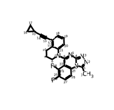 Cc1nnc2nc(N3CCCc4c(C#CC5CC5)cccc43)c3c(F)c(F)ccc3n12